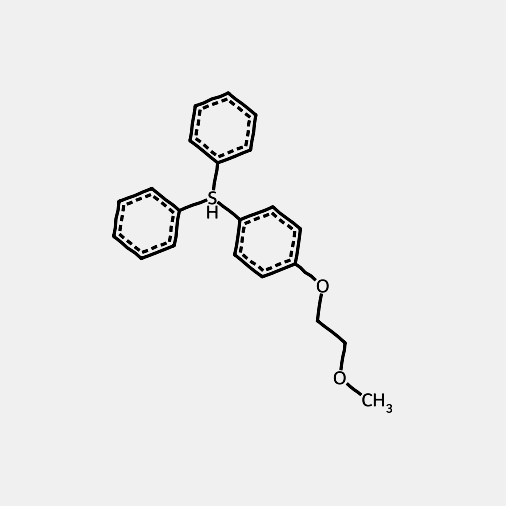 COCCOc1ccc([SH](c2ccccc2)c2ccccc2)cc1